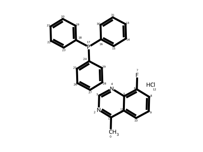 Cc1ncnc2c(F)cccc12.Cl.c1ccc(P(c2ccccc2)c2ccccc2)cc1